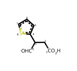 O=[C]C(CC(=O)O)c1cccs1